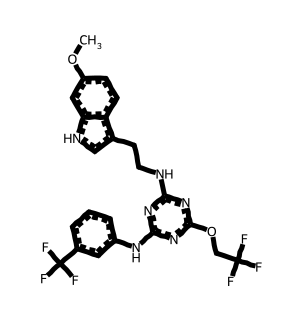 COc1ccc2c(CCNc3nc(Nc4cccc(C(F)(F)F)c4)nc(OCC(F)(F)F)n3)c[nH]c2c1